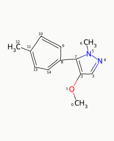 COc1cnn(C)c1-c1ccc(C)cc1